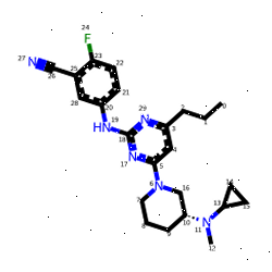 CCCc1cc(N2CCC[C@@H](N(C)C3CC3)C2)nc(Nc2ccc(F)c(C#N)c2)n1